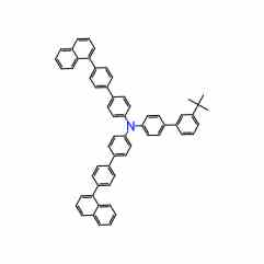 CC(C)(C)c1cccc(-c2ccc(N(c3ccc(-c4ccc(-c5cccc6ccccc56)cc4)cc3)c3ccc(-c4ccc(-c5cccc6ccccc56)cc4)cc3)cc2)c1